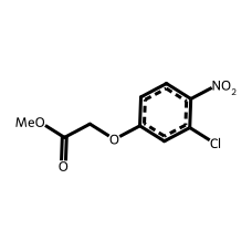 COC(=O)COc1ccc([N+](=O)[O-])c(Cl)c1